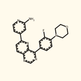 Nc1cc(-c2ccc3ncnc(-c4ccc(N5CCOCC5)c(F)c4)c3n2)ccn1